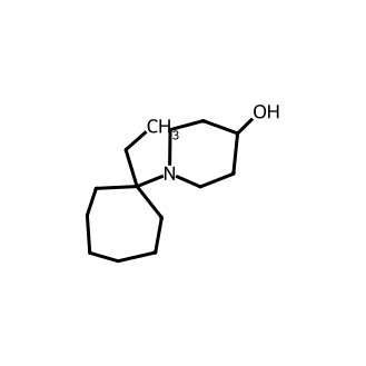 CCC1(N2CCC(O)CC2)CCCCCC1